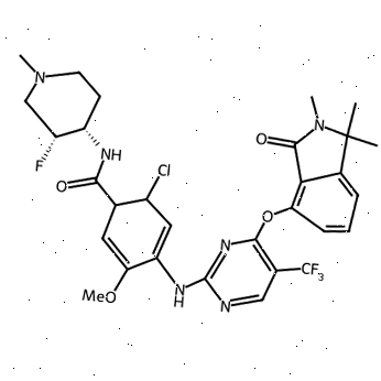 COC1=CC(C(=O)N[C@H]2CCN(C)C[C@H]2F)C(Cl)C=C1Nc1ncc(C(F)(F)F)c(Oc2cccc3c2C(=O)N(C)C3(C)C)n1